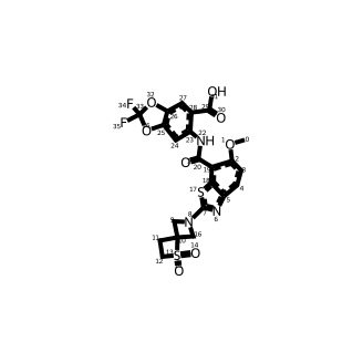 COc1ccc2nc(N3CC4(CCS4(=O)=O)C3)sc2c1C(=O)Nc1cc2c(cc1C(=O)O)OC(F)(F)O2